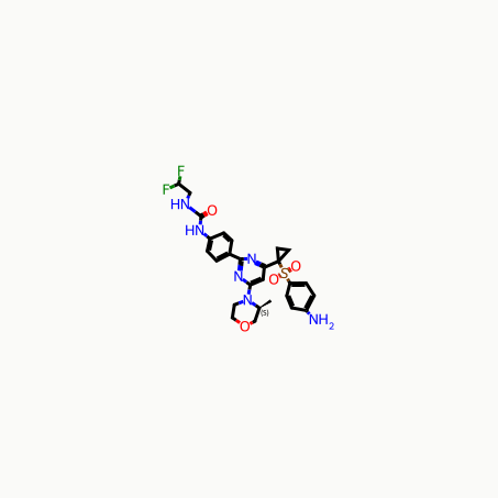 C[C@H]1COCCN1c1cc(C2(S(=O)(=O)c3ccc(N)cc3)CC2)nc(-c2ccc(NC(=O)NCC(F)F)cc2)n1